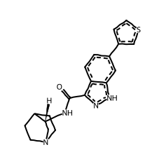 O=C(N[C@@H]1CN2CCC1CC2)c1n[nH]c2cc(-c3ccsc3)ccc12